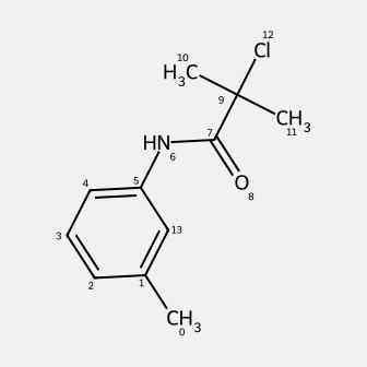 Cc1cccc(NC(=O)C(C)(C)Cl)c1